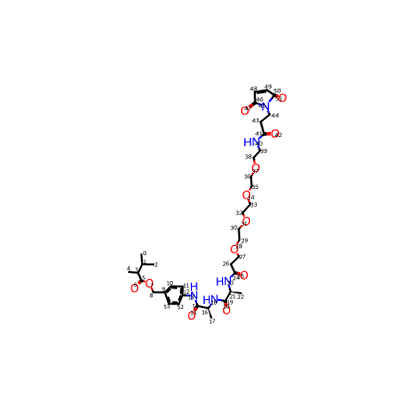 CC(C)C(C)C(=O)OCc1ccc(NC(=O)[C@H](C)NC(=O)[C@H](C)NC(=O)CCOCCOCCOCCOCCNC(=O)CCN2C(=O)C=CC2=O)cc1